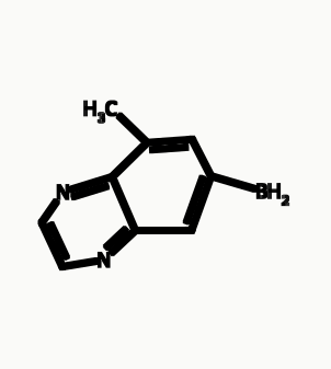 Bc1cc(C)c2nccnc2c1